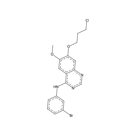 COc1cc2c(Nc3cccc(Br)c3)ncnc2cc1OCCCCl